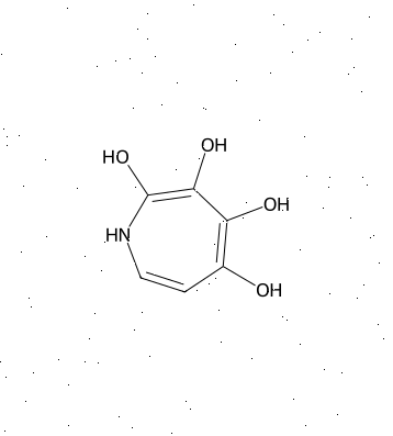 OC1=C(O)C(O)=C(O)NC=C1